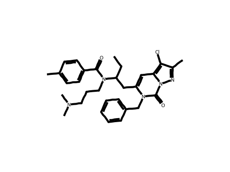 CCC(Cc1cc2c(Cl)c(C)nn2c(=O)n1Cc1ccccc1)N(CCCN(C)C)C(=O)c1ccc(C)cc1